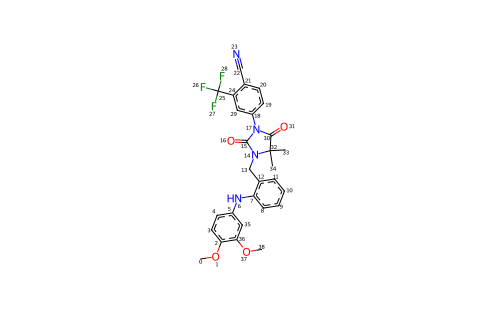 COc1ccc(Nc2ccccc2CN2C(=O)N(c3ccc(C#N)c(C(F)(F)F)c3)C(=O)C2(C)C)cc1OC